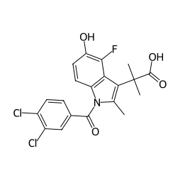 Cc1c(C(C)(C)C(=O)O)c2c(F)c(O)ccc2n1C(=O)c1ccc(Cl)c(Cl)c1